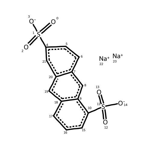 O=S(=O)([O-])c1ccc2cc3c(S(=O)(=O)[O-])cccc3cc2c1.[Na+].[Na+]